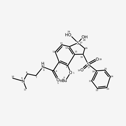 CCCCOc1c(C(=O)NCCN(C)C)ccc2c1C(S(=O)(=O)c1ccccc1)CS2(O)O